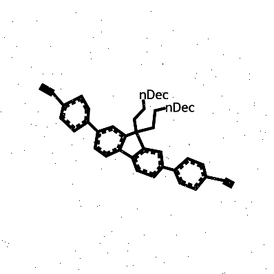 C#Cc1ccc(-c2ccc3c(c2)C(CCCCCCCCCCCC)(CCCCCCCCCCCC)c2cc(-c4ccc(C#C)cc4)ccc2-3)cc1